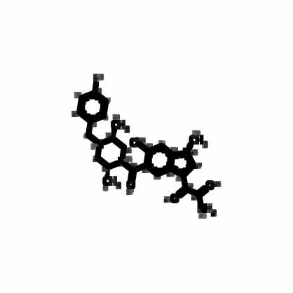 C[C@@H]1CN(Cc2ccc(F)cc2)[C@@H](C)CN1C(=O)c1cc2c(C(=O)C(N)=O)cn(C)c2cc1Cl